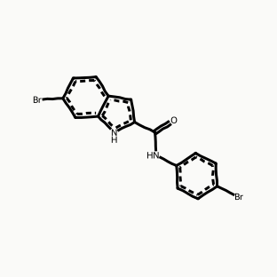 O=C(Nc1ccc(Br)cc1)c1cc2ccc(Br)cc2[nH]1